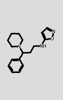 c1ccc(C(CCNc2ccno2)N2CCCCC2)cc1